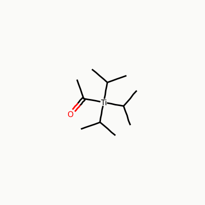 C[C](=O)[Ti]([CH](C)C)([CH](C)C)[CH](C)C